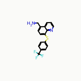 NCc1ccc(Sc2ccc(C(F)(F)F)cc2)c2ncccc12